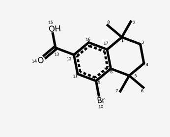 CC1(C)CCC(C)(C)c2c(Br)cc(C(=O)O)cc21